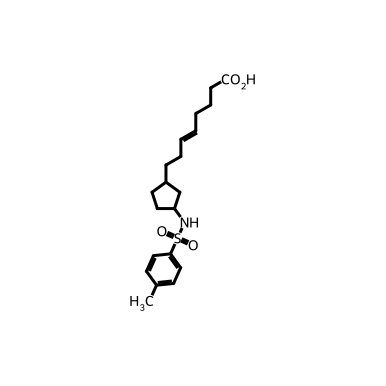 Cc1ccc(S(=O)(=O)NC2CCC(CCC=CCCCC(=O)O)C2)cc1